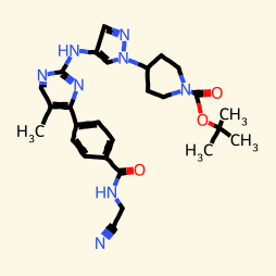 Cc1cnc(Nc2cnn(C3CCN(C(=O)OC(C)(C)C)CC3)c2)nc1-c1ccc(C(=O)NCC#N)cc1